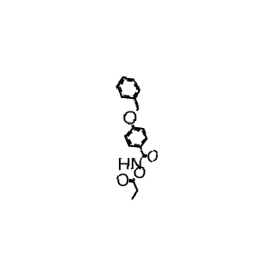 CCC(=O)ONC(=O)c1ccc(OCc2ccccc2)cc1